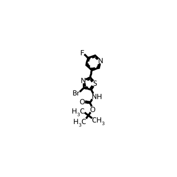 CC(C)(C)OC(=O)Nc1sc(-c2cncc(F)c2)nc1Br